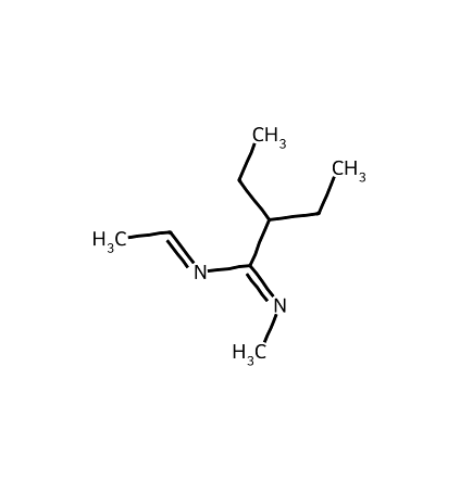 C/C=N/C(=N\C)C(CC)CC